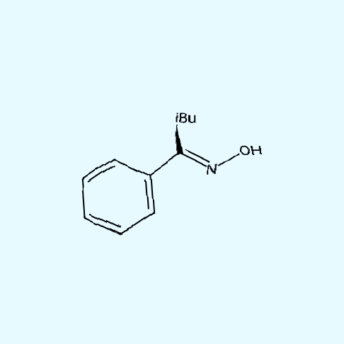 CC[C@H](C)/C(=N\O)c1ccccc1